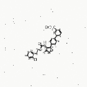 CCOC(=O)c1cccc(-c2ccc(-c3onc(C)c3NC(=O)OCCc3ccccc3Cl)cc2)n1